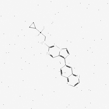 FC(F)(CNc1ncc2c(-c3ccc4nccnc4c3)ccn2n1)C1CC1